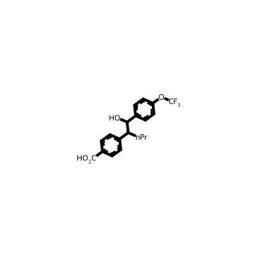 CCCC(c1ccc(C(=O)O)cc1)C(O)c1ccc(OC(F)(F)F)cc1